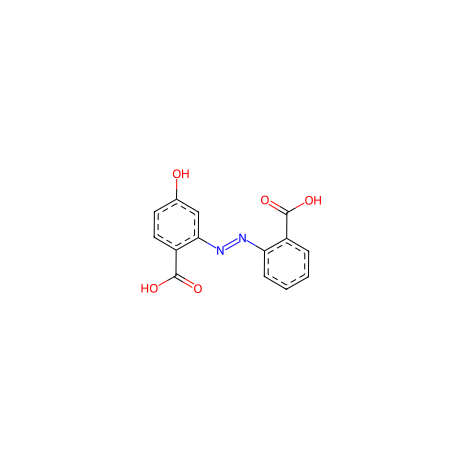 O=C(O)c1ccccc1N=Nc1cc(O)ccc1C(=O)O